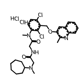 Cc1nc2ccccc2cc1OCc1c(Cl)ccc(N(C)C(=O)CNC(=O)CN(C)C2CCCCCC2)c1Cl.Cl.Cl